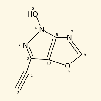 C#Cc1nn(O)c2ncoc12